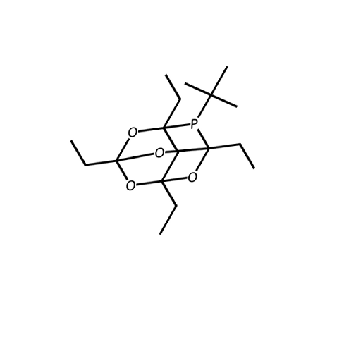 CCC12CC3(CC)OC(CC)(O1)OC(CC)(O2)P3C(C)(C)C